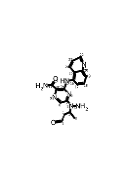 CC(CC=O)N(N)c1cnc(C(N)=O)c(Nc2cccc3ncccc23)n1